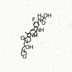 Cc1c(C=C2C(=O)Nc3cc(NC(=O)C(C)(C)O)c(F)cc32)[nH]c2c1C(=O)N(CC(O)CN1CCOCC1)CC2